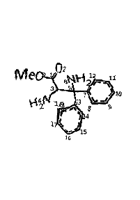 COC(=O)C(N)C(N)(c1ccccc1)c1ccccc1